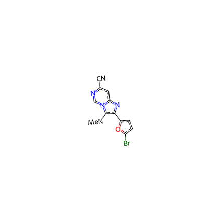 CNc1c(-c2ccc(Br)o2)nc2cc(C#N)ncn12